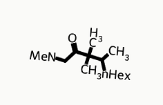 CCCCCCC(C)C(C)(C)C(=O)CNC